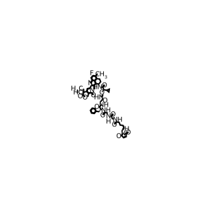 [2H]C(CCCC(=O)NCC(=O)NCC(=O)N[C@@H](Cc1ccccc1)C(=O)NCC(=O)NCO[C@@H](C(=O)N[C@H]1CCc2c(C)c(F)cc3nc4c(c1c23)Cn1c-4cc2c(c1=O)COC(=O)[C@]2(O)CC)C1CC1)CN1C(=O)C=CC1=O